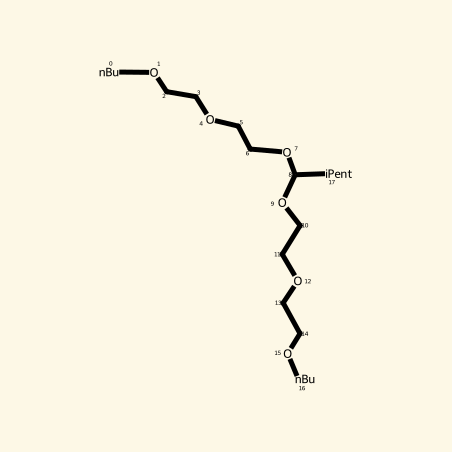 CCCCOCCOCCOC(OCCOCCOCCCC)C(C)CCC